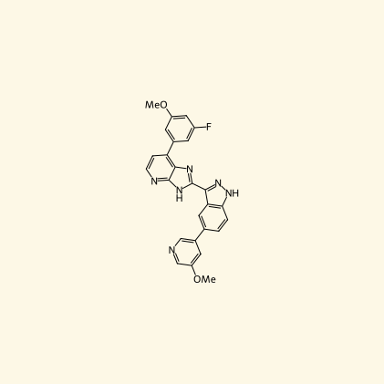 COc1cncc(-c2ccc3[nH]nc(-c4nc5c(-c6cc(F)cc(OC)c6)ccnc5[nH]4)c3c2)c1